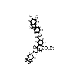 CCOC(=O)CN(CCN1CCS(=O)(=O)CC1)C(=O)c1cccc(COc2ccc(-c3cc(F)c(F)cc3SC)cc2)c1